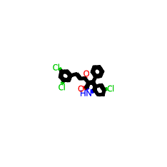 O=C(C=Cc1cc(Cl)cc(Cl)c1)c1c(-c2ccccc2)c2c([nH]c1=O)CCC(Cl)=C2